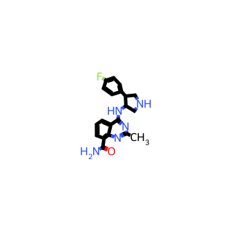 Cc1nc(NC2CNCC2c2ccc(F)cc2)c2cccc(C(N)=O)c2n1